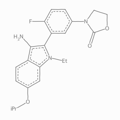 CCn1c(-c2cc(N3CCOC3=O)ccc2F)c(N)c2ccc(OC(C)C)cc21